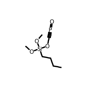 CCCC[Si](OC)(OC)OC#P=O